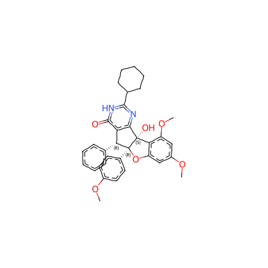 COc1ccc([C@@]23Oc4cc(OC)cc(OC)c4[C@]2(O)c2nc(C4CCCCC4)[nH]c(=O)c2[C@H]3c2ccccc2)cc1